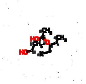 CC(=O)O.CCC[CH2][K].CCO